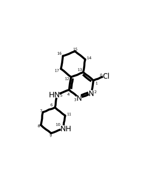 Clc1nnc(NC2CCCNC2)c2c1CCCC2